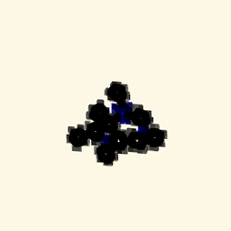 c1ccc(-c2cc(-c3ccccc3)cc(-n3c4ccccc4c4cc(-c5ccc6c7ccccc7n(-c7cccc(-c8nc(-c9ccccc9)nc(-c9ccccc9)n8)c7)c6c5)ccc43)c2)cc1